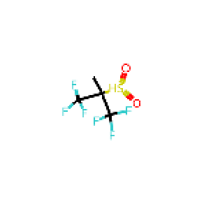 CC([SH](=O)=O)(C(F)(F)F)C(F)(F)F